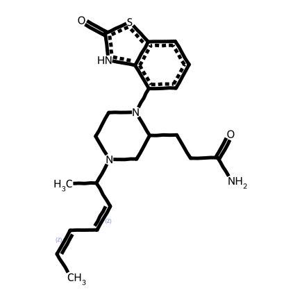 C/C=C\C=C/C(C)N1CCN(c2cccc3sc(=O)[nH]c23)C(CCC(N)=O)C1